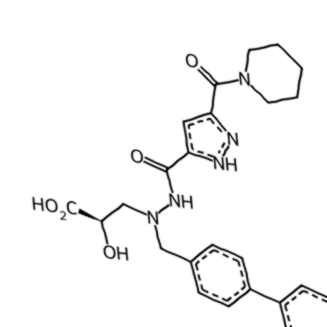 O=C(NN(Cc1ccc(-c2ccccc2)cc1)C[C@@H](O)C(=O)O)c1cc(C(=O)N2CCCCC2)n[nH]1